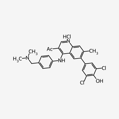 CC(=O)c1cnc2cc(C)c(-c3cc(Cl)c(O)c(Cl)c3)cc2c1Nc1ccc(CN(C)C)cc1.Cl